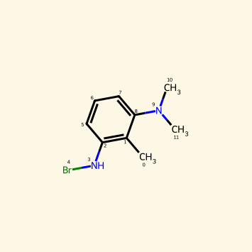 Cc1c(NBr)cccc1N(C)C